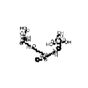 COC(=O)[C@H](CCC(=O)O)NC(=O)N[C@@H](CCCCNC(=O)CCCCCCC(=O)NC(CCCCNC(=S)Nc1ccc(CC2CN(CC(=O)O)CCN(CC(=O)O)CCN2CC(=O)O)cc1)C(=O)OCc1ccccc1)C(=O)O